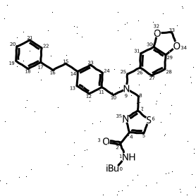 CCC(C)NC(=O)c1csc(CN(Cc2ccc(CCc3ccccc3)cc2)Cc2ccc3c(c2)OCO3)n1